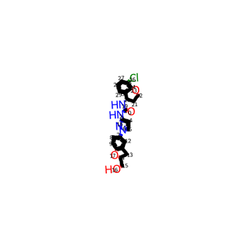 O=C(Nc1ccn(-c2ccc3c(c2)CC(CO)O3)n1)N[C@H]1CCOc2c(Cl)cccc21